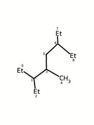 CC[C](CC)C(C)CC(CC)CC